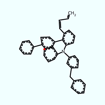 C=C/C=C\c1cccc(N(c2ccccc2)c2cccc(Cc3ccccc3)c2)c1-c1ccc(-c2ccccc2)cc1